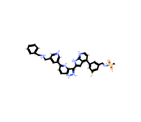 CS(=O)(=O)NCc1cc(F)cc(-c2ccnc3[nH]c(-c4n[nH]c5ccc(-c6cncc(CNCc7ccccc7)c6)nc45)cc23)c1